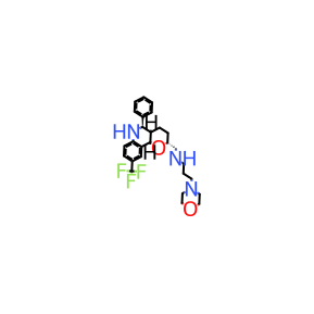 FC(F)(F)c1ccc2c(c1)[C@H]1O[C@@H](CNCCCN3CCOCC3)CC[C@H]1[C@H](c1ccccc1)N2